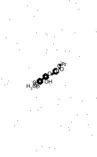 CC(C)OC(=O)N1CCC(COc2ccc(-c3ccc(S(C)(=O)=O)cc3)c(O)c2)CC1